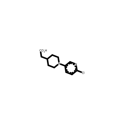 O=C(O)CC1CCN(c2ccc(Cl)nc2)CC1